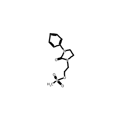 CS(=O)(=O)OCCN1CCN(c2ccccc2)C1=O